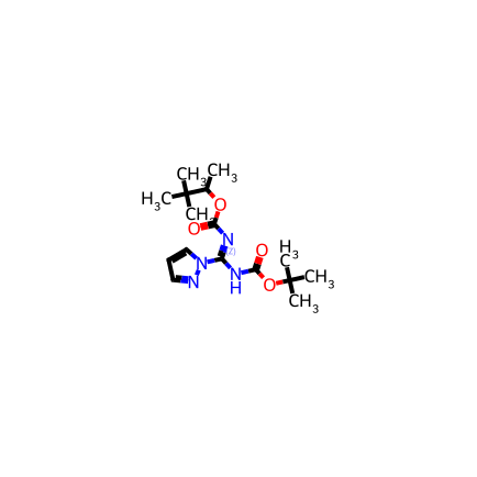 CC(OC(=O)/N=C(/NC(=O)OC(C)(C)C)n1cccn1)C(C)(C)C